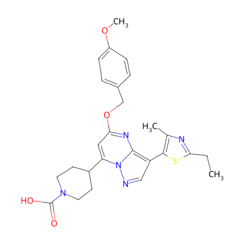 CCc1nc(C)c(-c2cnn3c(C4CCN(C(=O)O)CC4)cc(OCc4ccc(OC)cc4)nc23)s1